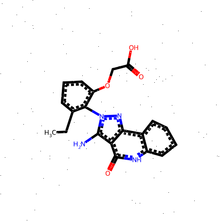 CCc1cccc(OCC(=O)O)c1-n1nc2c(c1N)c(=O)[nH]c1ccccc12